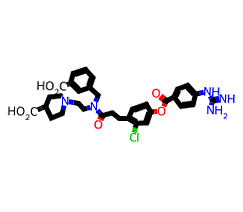 N=C(N)Nc1ccc(C(=O)Oc2ccc(CCC(=O)N(CCN3CCC(C(=O)O)CC3)Cc3cccc(C(=O)O)c3)c(Cl)c2)cc1